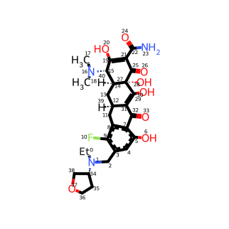 CCN(Cc1cc(O)c2c(c1F)C[C@H]1C[C@H]3[C@H](N(C)C)C(O)=C(C(N)=O)C(=O)[C@@]3(O)C(O)=C1C2=O)[C@@H]1CCOC1